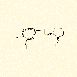 O=C1CCCC1=NNc1ccc(Cl)c(Cl)c1